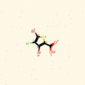 O=C(O)c1sc(Br)c(F)c1Br